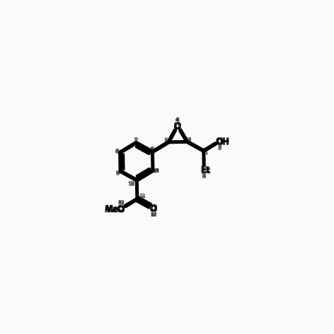 CCC(O)C1OC1c1cccc(C(=O)OC)c1